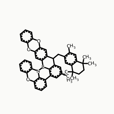 Cc1cc2c3c(c1)C(Cc1cc4c(cc1C)C(C)(C)CCC4(C)C)c1cc4c(cc1B3N1c3ccccc3Oc3cccc-2c31)Oc1ccccc1O4